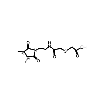 C[C@H]1C(=O)N(CCNC(=O)CSCC(=O)O)C(=O)[C@@H]1C